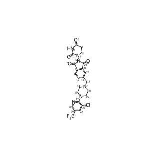 O=C1CCN(N2C(=O)c3ccc(CN4CCN(c5ncc(C(F)(F)F)cc5Cl)CC4)cc3C2=O)C(=O)N1